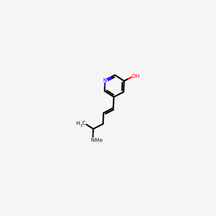 CNC(C)CC=Cc1cncc(O)c1